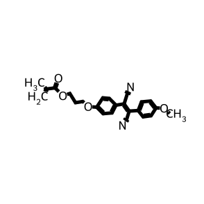 C=C(C)C(=O)OCCCOc1ccc(C(C#N)=C(C#N)c2ccc(OC)cc2)cc1